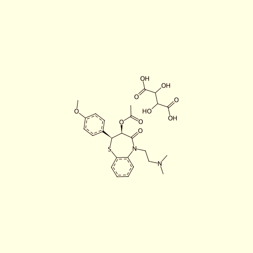 COc1ccc([C@@H]2Sc3ccccc3N(CCN(C)C)C(=O)[C@@H]2OC(C)=O)cc1.O=C(O)C(O)C(O)C(=O)O